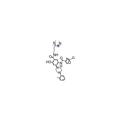 C/N=N\C(CCCNC(=O)c1cc(NC(=O)c2coc(C3CC3)n2)c(N2CCN(c3ccccc3C)CC2)cc1O)=N/C